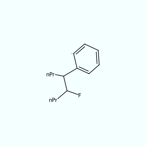 CCCC(F)C(CCC)c1[c]cccc1